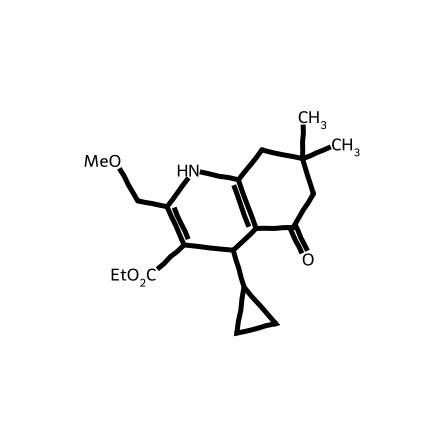 CCOC(=O)C1=C(COC)NC2=C(C(=O)CC(C)(C)C2)C1C1CC1